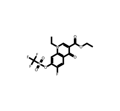 CCOC(=O)c1cn(CC)c2cc(OS(=O)(=O)C(F)(F)F)c(F)cc2c1=O